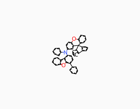 c1ccc(-c2ccc(N(c3ccccc3)c3ccc4c(c3)C3(c5ccccc5O4)c4ccccc4-c4ccccc43)c3c2oc2ccccc23)cc1